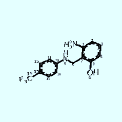 Nc1cccc(O)c1CNc1ccc(C(F)(F)F)cc1